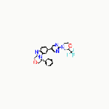 FC(F)(F)C1CN(c2ncc(-c3ccc4nc5n(c4c3)[C@@H](c3ccccc3)COC5)cn2)CCO1